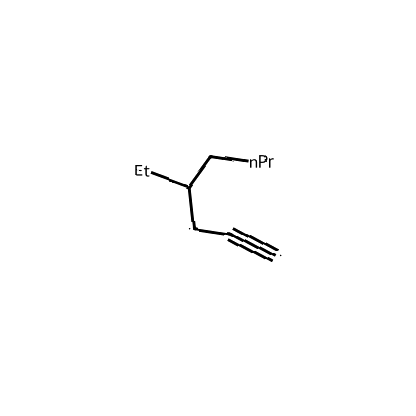 [C]#C[CH]C(CC)CCCC